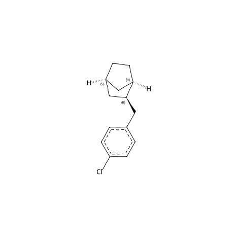 Clc1ccc(C[C@H]2C[C@H]3CC[C@@H]2C3)cc1